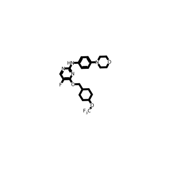 Fc1cnc(Nc2ccc(N3CCOCC3)cc2)nc1OCC1CCC(OC(F)(F)F)CC1